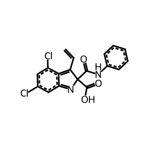 C=CC1=c2c(Cl)cc(Cl)cc2=NC1(C(=O)O)C(=O)Nc1ccccc1